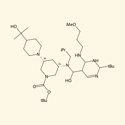 COCCCNC1NC(C(C)(C)C)N=CC1C(O)N(CC(C)C)[C@H]1C[C@@H](N2CCC(C(C)(C)O)CC2)CN(C(=O)OC(C)(C)C)C1